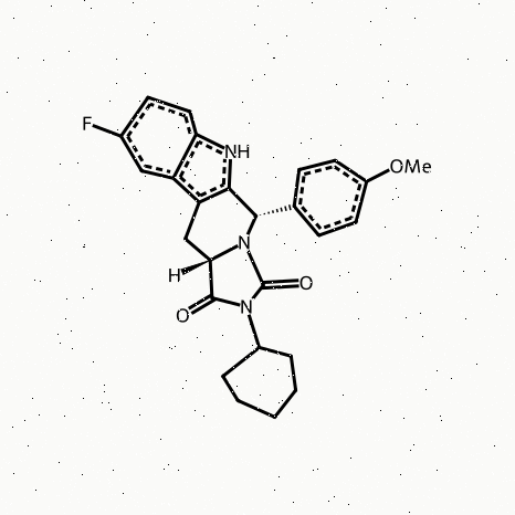 COc1ccc([C@H]2c3[nH]c4ccc(F)cc4c3C[C@H]3C(=O)N(C4CCCCC4)C(=O)N23)cc1